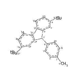 Cc1ccc([C]2c3cc(C(C)(C)C)ccc3-c3ccc(C(C)(C)C)cc32)cc1